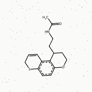 CC(=O)NCCC1CCOc2ccc3c(c21)C=CCS3